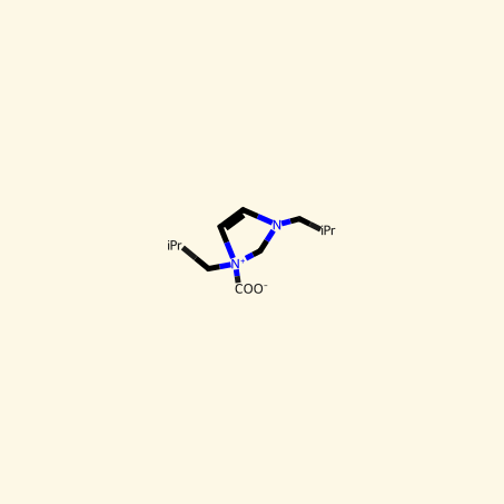 CC(C)CN1C=C[N+](CC(C)C)(C(=O)[O-])C1